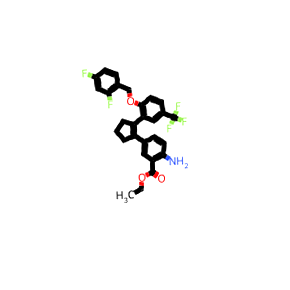 CCOC(=O)c1cc(C2=C(c3cc(C(F)(F)F)ccc3OCc3ccc(F)cc3F)CCC2)ccc1N